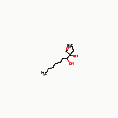 CCCCCCC(O)C(O)([C]=O)CC